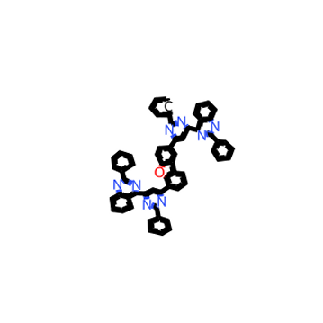 c1ccc(-c2nc(-c3ccc4oc5c(-c6cc(-c7nc(-c8ccccc8)nc8ccccc78)nc(-c7ccccc7)n6)cccc5c4c3)cc(-c3nc(-c4ccccc4)nc4ccccc34)n2)cc1